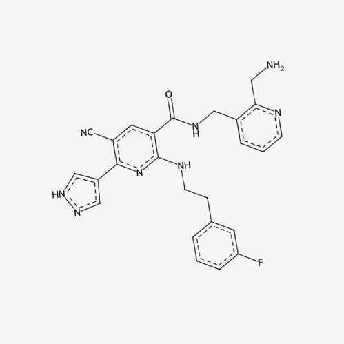 N#Cc1cc(C(=O)NCc2cccnc2CN)c(NCCc2cccc(F)c2)nc1-c1cn[nH]c1